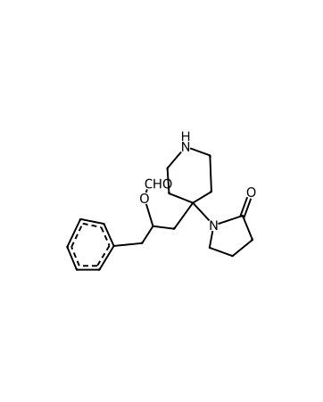 O=COC(Cc1ccccc1)CC1(N2CCCC2=O)CCNCC1